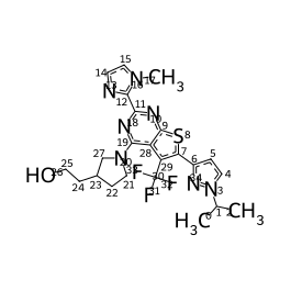 CC(C)n1ccc(-c2sc3nc(-c4nccn4C)nc(N4CCC(CCO)C4)c3c2C(F)(F)F)n1